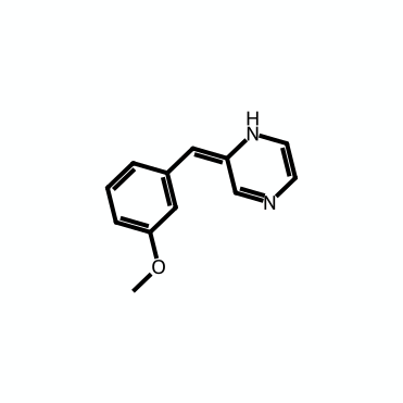 COc1cccc(C=C2C=NC=CN2)c1